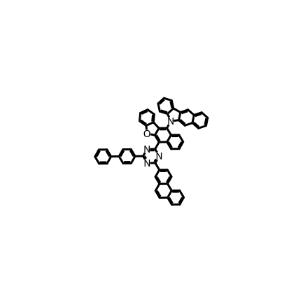 c1ccc(-c2ccc(-c3nc(-c4ccc5c(ccc6ccccc65)c4)nc(-c4c5ccccc5c(-n5c6ccccc6c6cc7ccccc7cc65)c5c4oc4ccccc45)n3)cc2)cc1